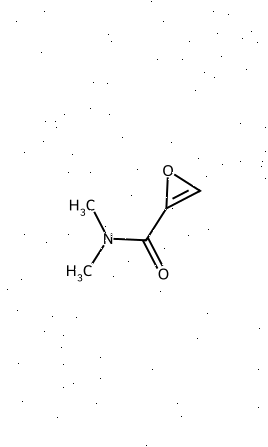 CN(C)C(=O)C1=CO1